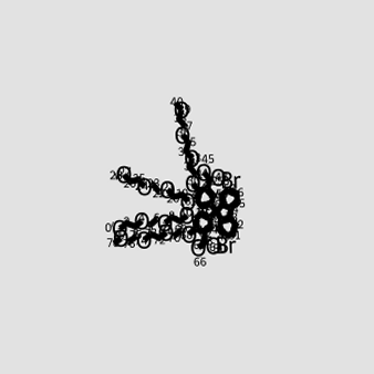 COCCOCCOCCOc1cc(C2(c3cc(OCCOCCOCCOC)c(OCCOCCOCCOC)c(C(=O)OC)c3)c3cc(Br)ccc3-c3ccc(Br)cc32)cc(C(=O)OC)c1OCCOCCOCCOC